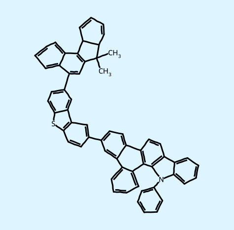 CC1(C)c2cc(-c3ccc4sc5ccc(-c6ccc7c(c6)c6ccccc6c6c7ccc7c8ccccc8n(-c8ccccc8)c76)cc5c4c3)c3ccccc3c2C2C=CC=CC21